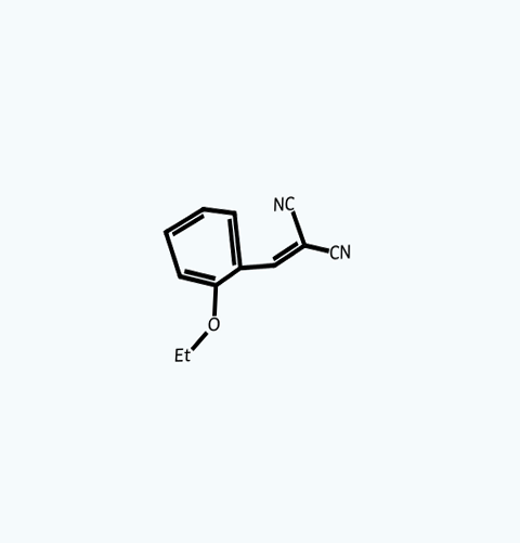 CCOc1ccccc1C=C(C#N)C#N